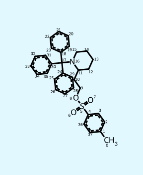 Cc1ccc(S(=O)(=O)OCCC2CCCCN2C(c2ccccc2)(c2ccccc2)c2ccccc2)cc1